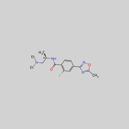 CCN(CC)C[C@@H](C)NC(=O)c1ccc(-c2noc(C)n2)cc1F